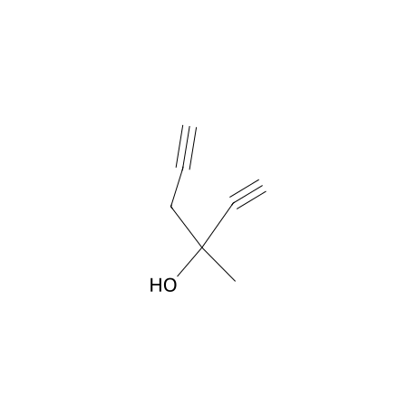 C#CCC(C)(O)C#C